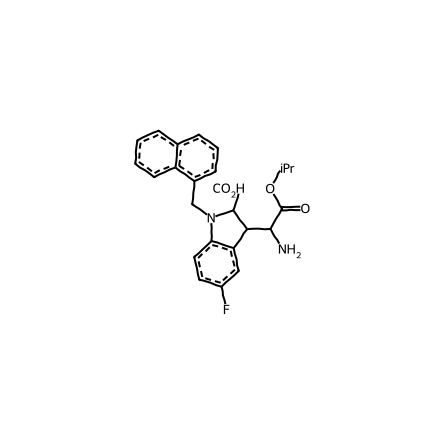 CC(C)OC(=O)C(N)C1c2cc(F)ccc2N(Cc2cccc3ccccc23)C1C(=O)O